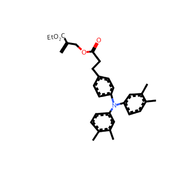 C=C(COC(=O)CCc1ccc(N(c2ccc(C)c(C)c2)c2ccc(C)c(C)c2)cc1)C(=O)OCC